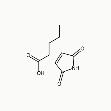 CCCCC(=O)O.O=C1C=CC(=O)N1